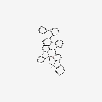 CC1(C)C2=C(C=CCC=C2)c2ccc(N(c3ccccc3-c3ccccc3-c3ccccc3-c3ccccc3)c3cccc4c3C(C)(C)c3ccccc3-4)cc21